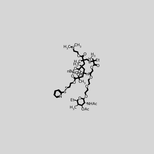 CCCCOC(=O)C(C)(CC(C)(CBC(C)(CC)C(=O)OCCOCCOCCO[C@@H]1O[C@H](CC)[C@H](C)[C@H](OC(C)=O)[C@H]1NC(C)=O)C(=O)OCCN(C)C)CC(CCC)(CC(C)(C)C(=O)OCCSSc1ccccn1)C(=O)O